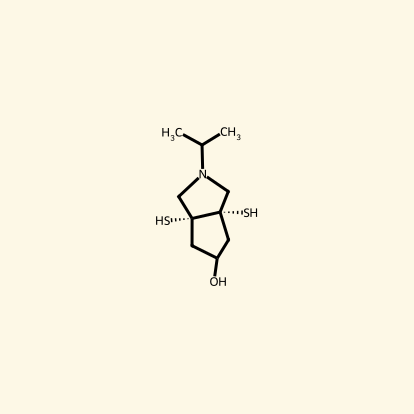 CC(C)N1C[C@]2(S)CC(O)C[C@]2(S)C1